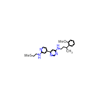 COc1ccccc1C(C)CCNc1cc(-c2ccnc(NCCSC)c2)ncn1